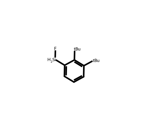 CC(C)(C)c1cccc([SiH2]F)c1C(C)(C)C